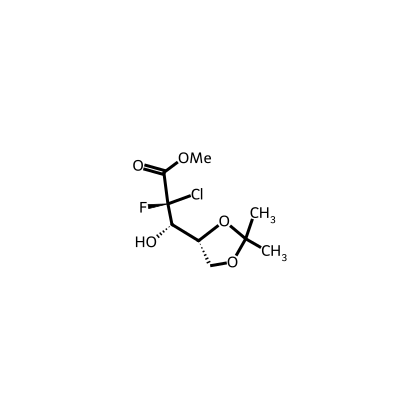 COC(=O)[C@](F)(Cl)[C@@H](O)[C@H]1COC(C)(C)O1